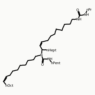 CCCCCCCC/C=C\CCCCCCCCN(C(=O)NCCCCC)C(/C=C\CCCCCCCCNC(=O)NCCC)CCCCCCC